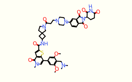 COc1cc(-c2cn(C)c(=O)c3cc(C(=O)NC4CC5(CCN(C(=O)CCN6CCN(c7ccc8c(c7)C(=O)N(C7CCC(=O)NC7=O)C8=O)CC6)C5)C4)sc23)cc(OC)c1CN(C)C